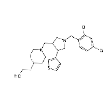 OCCC1CCN(CC2CN(Cc3ccc(Cl)cc3Cl)CC2c2ccsc2)CC1